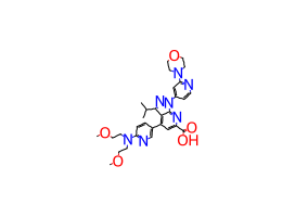 COCCN(CCOC)c1ccc(-c2cc(C(=O)O)nc3c2c(C(C)C)nn3-c2ccnc(N3CCOCC3)c2)cn1